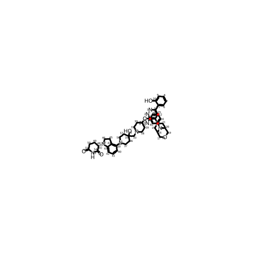 Nc1nnc(-c2ccccc2O)cc1N1CC2COCC(C1)N2c1cccc(OC2CCN(CC3(O)CCN(c4cccc5c4CCN5[C@H]4CCC(=O)NC4=O)CC3)CC2)c1